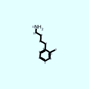 Cc1ccccc1CCCCN